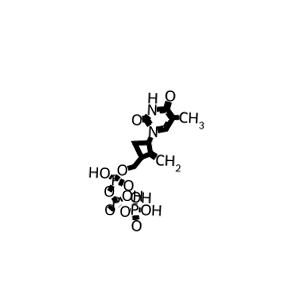 C=C1C(COP(=O)(O)OP(=O)(O)OP(=O)(O)O)CC1n1cc(C)c(=O)[nH]c1=O